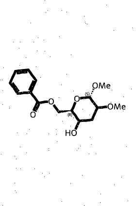 COC1CC(O)[C@@H](COC(=O)c2ccccc2)O[C@@H]1OC